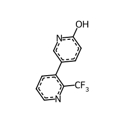 Oc1ccc(-c2cccnc2C(F)(F)F)cn1